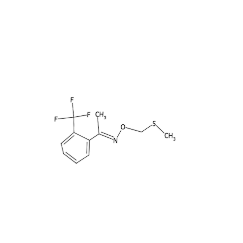 CSCO/N=C(\C)c1ccccc1C(F)(F)F